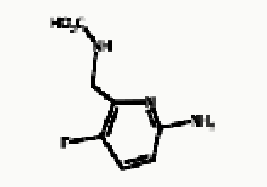 Nc1ccc(F)c(CNC(=O)O)n1